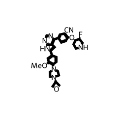 COc1cc(-c2cc3c(-c4ccc(O[C@H]5CCNC[C@@H]5F)c(C#N)c4)ncnc3[nH]2)ccc1N1CCN(C2COC2)CC1